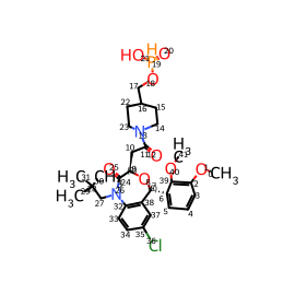 COc1cccc([C@H]2O[C@H](CC(=O)N3CCC(CO[PH](=O)O)CC3)C(=O)N(CC(C)(C)C)c3ccc(Cl)cc32)c1OC